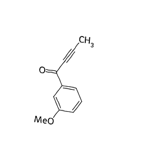 CC#CC(=O)c1cccc(OC)c1